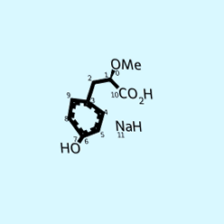 CO[C@H](Cc1ccc(O)cc1)C(=O)O.[NaH]